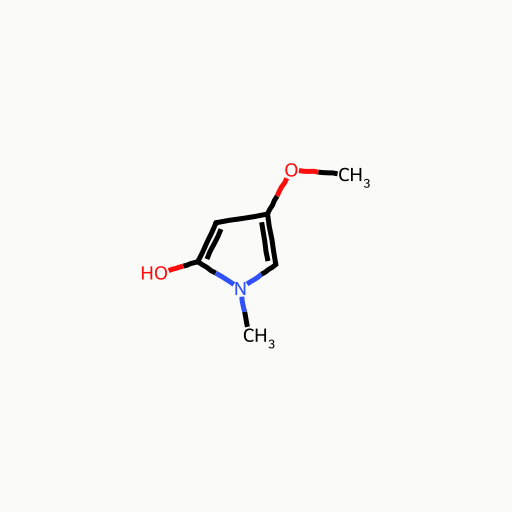 COc1cc(O)n(C)c1